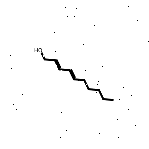 CCCCC/C=C/C=C/CO